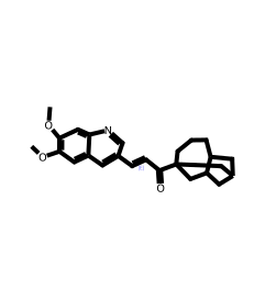 COc1cc2cc(/C=C/C(=O)C34CCCC5CC(CC5C3)C4)cnc2cc1OC